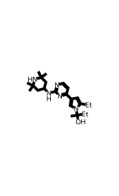 CCc1cc(-c2ccnc(NC3CC(C)(C)NC(C)(C)C3)n2)cn1C(C)(O)CC